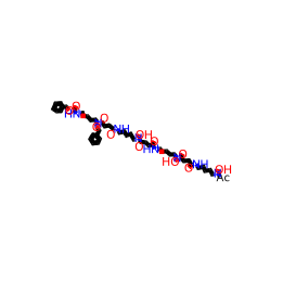 CC(=O)N(O)CCCCCNC(=O)CCC(=O)N(O)CCCCCNC(=O)CCC(=O)N(O)CCCCCNC(=O)CCC(=O)N(CCCCCNC(=O)OCc1ccccc1)OCc1ccccc1